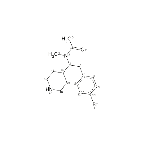 CC(=O)N(C)C(Cc1ccc(Br)cc1)C1CCNCC1